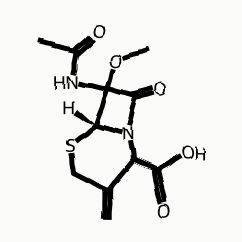 C=C1CS[C@H]2N(C(=O)C2(NC(C)=O)OC)C1C(=O)O